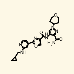 NC(=O)c1nn(C2CCOCC2)cc1NC(=O)c1coc(-c2ccnc(NCC3CC3)c2)n1